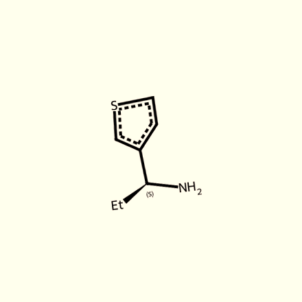 [CH2]C[C@H](N)c1ccsc1